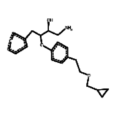 NC[C@H](O)C(Cc1ccccc1)Oc1ccc(CCOCC2CC2)cc1